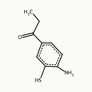 CCC(=O)c1ccc(N)c(S)c1